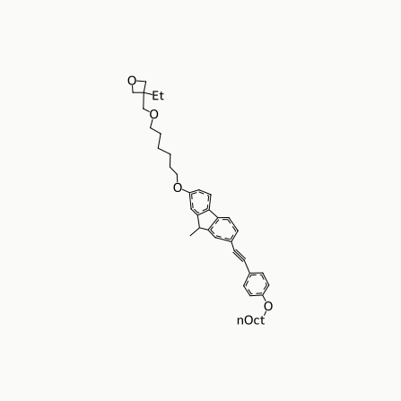 CCCCCCCCOc1ccc(C#Cc2ccc3c(c2)C(C)c2cc(OCCCCCCOCC4(CC)COC4)ccc2-3)cc1